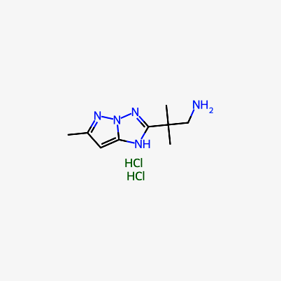 Cc1cc2[nH]c(C(C)(C)CN)nn2n1.Cl.Cl